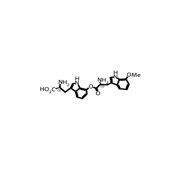 COc1cccc2c(C[C@H](N)C(=O)Oc3cccc4c(C[C@H](N)C(=O)O)c[nH]c34)c[nH]c12